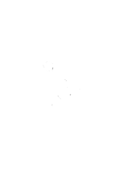 CC(C)(C)OC(=O)C(CCc1cccs1)C(C)(N)O